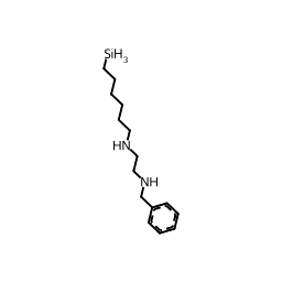 [SiH3]CCCCCCNCCNCc1ccccc1